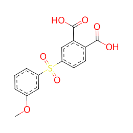 COc1cccc(S(=O)(=O)c2ccc(C(=O)O)c(C(=O)O)c2)c1